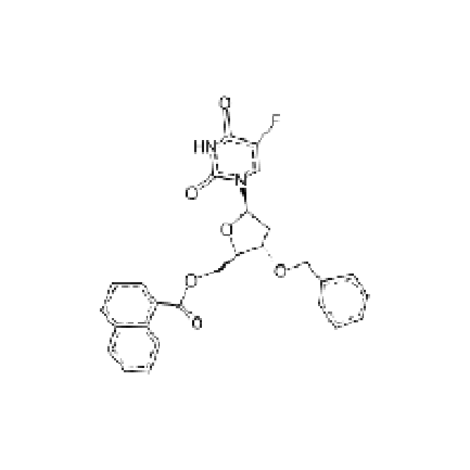 O=C(OC[C@H]1O[C@@H](n2cc(F)c(=O)[nH]c2=O)C[C@@H]1OCc1ccccc1)c1cccc2ccccc12